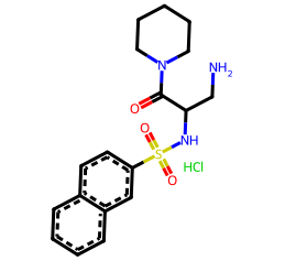 Cl.NCC(NS(=O)(=O)c1ccc2ccccc2c1)C(=O)N1CCCCC1